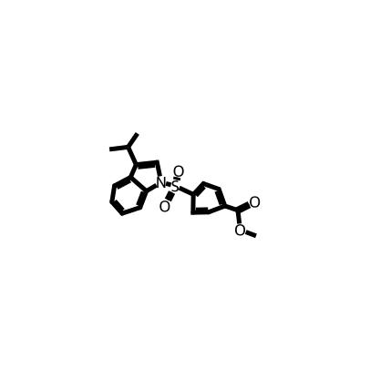 COC(=O)c1ccc(S(=O)(=O)n2cc(C(C)C)c3ccccc32)cc1